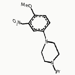 COc1ccc(N2CCN(C(C)C)CC2)cc1[N+](=O)[O-]